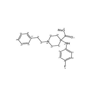 COC(=O)C1(Nc2ccc(F)cc2)CCN(CCc2ccccc2)CC1